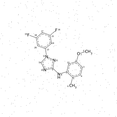 COc1ccc(C)c(Nc2ncn(-c3cc(F)cc(F)c3)n2)c1